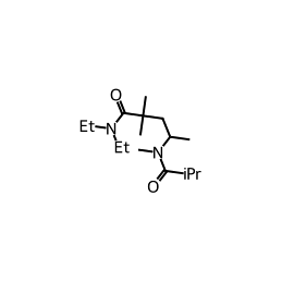 CCN(CC)C(=O)C(C)(C)CC(C)N(C)C(=O)C(C)C